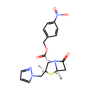 C[C@@]1(Cn2cccn2)S[C@@H]2CC(=O)N2[C@H]1C(=O)OCc1ccc([N+](=O)[O-])cc1